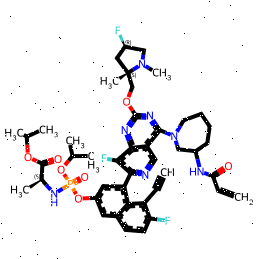 C#Cc1c(F)ccc2cc(OP(=O)(N[C@@H](C)C(=O)OC(C)C)OC(C)C)cc(-c3ncc4c(N5CCCCC(NC(=O)C=C)C5)nc(OC[C@]5(C)C[C@@H](F)CN5C)nc4c3F)c12